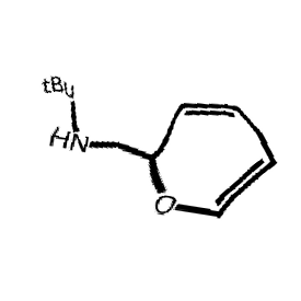 CC(C)(C)NC1C=CC=CO1